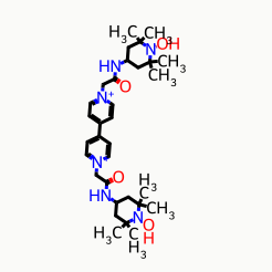 CC1(C)CC(NC(=O)C[n+]2ccc(-c3cc[n+](CC(=O)NC4CC(C)(C)N(O)C(C)(C)C4)cc3)cc2)CC(C)(C)N1O